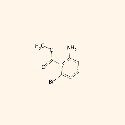 COC(=O)c1c(N)cccc1Br